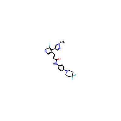 Cn1cc(-c2c(F)cncc2/C=C/C(=O)Nc2ccc(N3CCC(F)(F)CC3)cc2)cn1